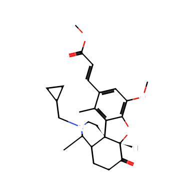 COC(=O)/C=C/c1cc(OC)c2c(c1C)[C@@]13CCN(CC4CC4)C(C)C1CCC(=O)[C@H]3O2